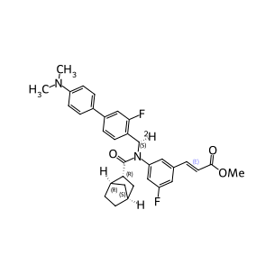 [2H][C@@H](c1ccc(-c2ccc(N(C)C)cc2)cc1F)N(C(=O)[C@@H]1C[C@H]2CC[C@@H]1C2)c1cc(F)cc(/C=C/C(=O)OC)c1